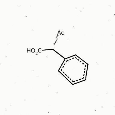 CC(=O)[C@@H](C(=O)O)c1ccccc1